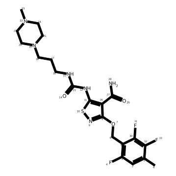 Cc1cc(F)c(COc2nsc(NC(=O)NCCCN3CCN(C)CC3)c2C(N)=O)c(F)c1F